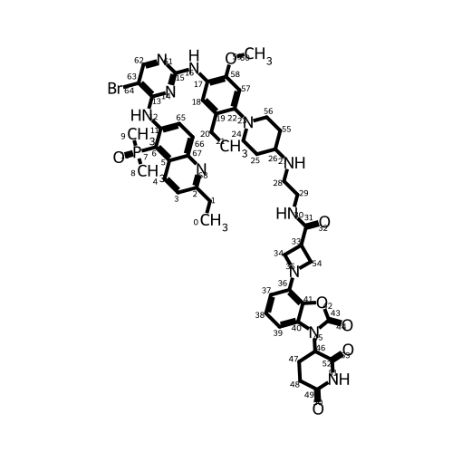 CCc1ccc2c(P(C)(C)=O)c(Nc3nc(Nc4cc(CC)c(N5CCC(NCCNC(=O)C6CN(c7cccc8c7oc(=O)n8C7CCC(=O)NC7=O)C6)CC5)cc4OC)ncc3Br)ccc2n1